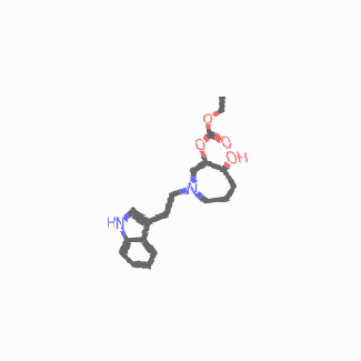 CCOC(=O)OC1CN(CCc2c[nH]c3ccccc23)CCCC1O